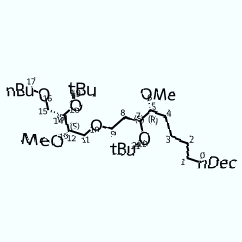 CCCCCCCCCCCCCC[C@@H](OC)[C@H](CCOC[C@H](OC)[C@H](COCCCC)OC(C)(C)C)OC(C)(C)C